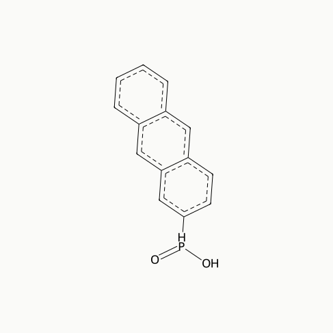 O=[PH](O)c1ccc2cc3ccccc3cc2c1